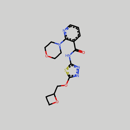 O=C(Nc1nnc(OCC2CCO2)s1)c1cccnc1N1CCOCC1